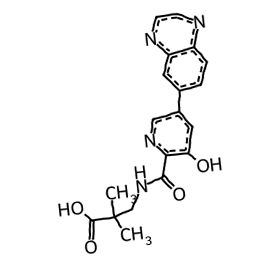 CC(C)(CNC(=O)c1ncc(-c2ccc3nccnc3c2)cc1O)C(=O)O